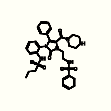 CCCS(=O)(=O)Nc1ccccc1-n1c(-c2ccccc2)c(C(=O)N2CCNCC2)n(CCNS(=O)(=O)c2ccccc2)c1=O